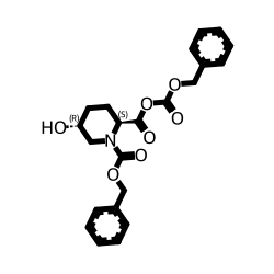 O=C(OCc1ccccc1)OC(=O)[C@@H]1CC[C@@H](O)CN1C(=O)OCc1ccccc1